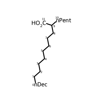 CCCCCCCCCCCCCCCCCCC(CCCCC)C(=O)O